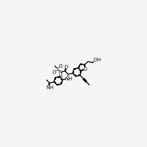 CC#Cc1cc([C@@H](Nc2ccc(C(C)=N)cc2)C(=O)NS(C)(=O)=O)cc2cc(CCO)oc12